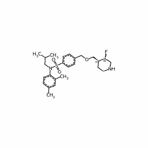 Cc1ccc(N(CC(C)C)S(=O)(=O)c2ccc(COC[C@@H]3CCNC[C@@H]3F)cc2)c(C)c1